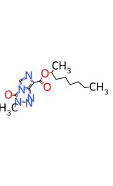 CCCCCCC(C)OC(=O)c1ncn2c(=O)n(C)nnc12